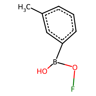 Cc1cccc(B(O)OF)c1